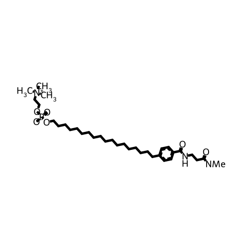 CNC(=O)CCNC(=O)c1ccc(CCCCCCCCCCCCCCCCCCOP(=O)([O-])OCC[N+](C)(C)C)cc1